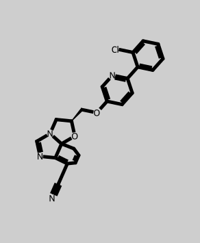 N#CC1=C2N=CN3C[C@@H](COc4ccc(-c5ccccc5Cl)nc4)OC23CC=C1